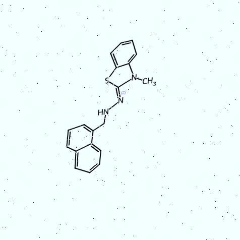 Cn1/c(=N/NCc2cccc3ccccc23)sc2ccccc21